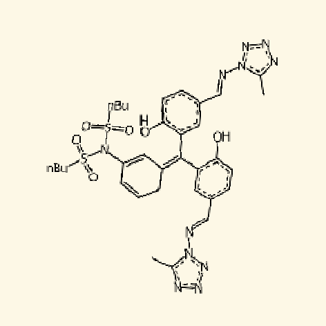 CCCCS(=O)(=O)N(C1=CC(=C(c2cc(C=Nn3nnnc3C)ccc2O)c2cc(C=Nn3nnnc3C)ccc2O)CC=C1)S(=O)(=O)CCCC